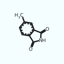 Cc1[c]c2c(cc1)C(=O)NC2=O